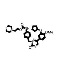 COc1ccc(C2=NN(Cc3ccc(NC(=O)OCCN4CCOCC4)cc3)C(=O)SC2)cc1OC1CCCC1